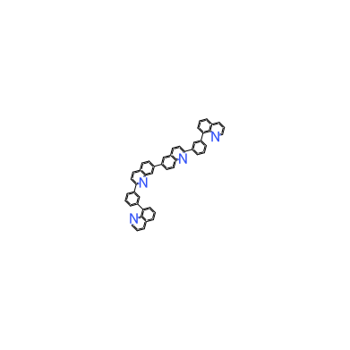 c1cc(-c2ccc3cc(-c4ccc5ccc(-c6cccc(-c7cccc8cccnc78)c6)nc5c4)ccc3n2)cc(-c2cccc3cccnc23)c1